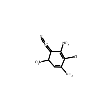 [N-]=[N+]=C1C([N+](=O)[O-])=C(Cl)C([N+](=O)[O-])=CC1[N+](=O)[O-]